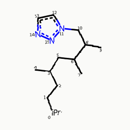 C[C](C)CCC(C)CC(C)C(C)Cn1ccnn1